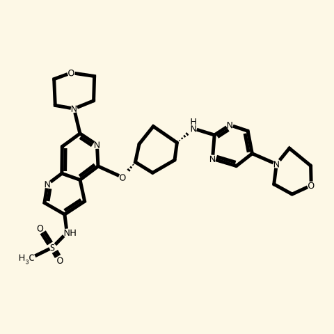 CS(=O)(=O)Nc1cnc2cc(N3CCOCC3)nc(O[C@H]3CC[C@@H](Nc4ncc(N5CCOCC5)cn4)CC3)c2c1